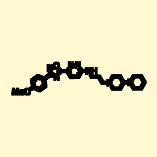 COc1ccc(-c2noc(-c3ccc(NCCCN4CCC(N5CCCCC5)CC4)nn3)n2)cc1